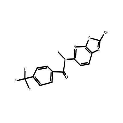 CN(C(=O)c1ccc(C(F)(F)F)cc1)c1ccc2nc(S)sc2n1